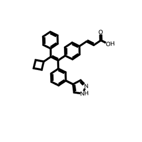 O=C(O)/C=C/c1ccc(/C(=C(\c2ccccc2)C2CCC2)c2cccc(-c3cn[nH]c3)c2)cc1